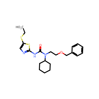 O=C(O)CSc1cnc(NC(=O)N(CCOCc2ccccc2)C2CCCCC2)s1